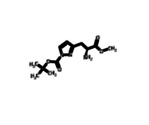 COC(=O)[C@@H](N)Cc1ccn(C(=O)OC(C)(C)C)n1